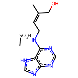 CC(=CCNc1ncnc2nc[nH]c12)CO.CS(=O)(=O)O